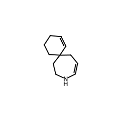 C1=CC2(CC=CNCC2)CCC1